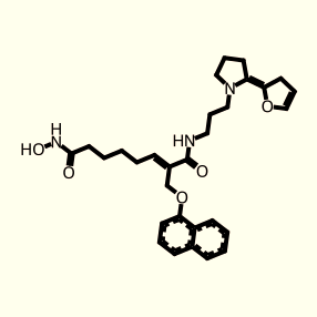 O=C(CCCC/C=C(\COc1cccc2ccccc12)C(=O)NCCCN1CCCC1=C1CC=CO1)NO